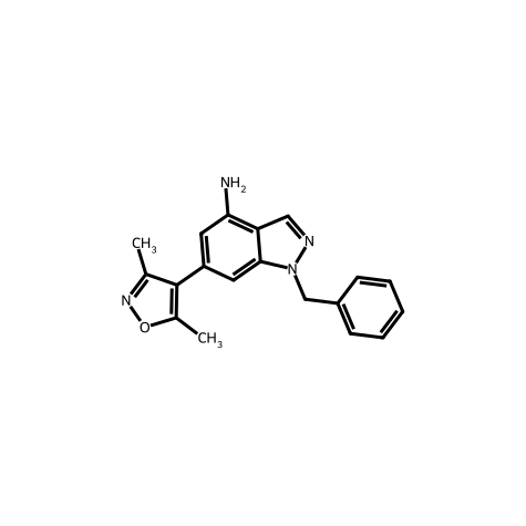 Cc1noc(C)c1-c1cc(N)c2cnn(Cc3ccccc3)c2c1